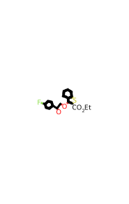 CCOC(=O)c1sc2ccccc2c1OCC(=O)c1ccc(F)cc1